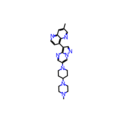 Cc1cnc2c(-c3cnn4cc(N5CCC(N6CCN(C)CC6)CC5)cnc34)ccnc2c1